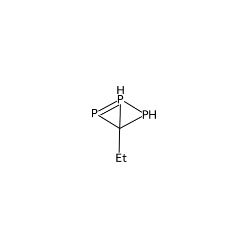 CCC12P=[PH]1P2